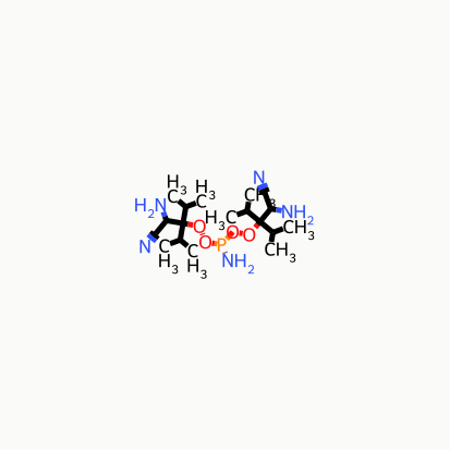 CC(C)C(OOP(N)OOC(C(C)C)(C(C)C)C(N)C#N)(C(C)C)C(N)C#N